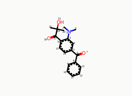 CN(C)c1cc(C(=O)c2ccccc2)ccc1C(=O)C(C)(C)O